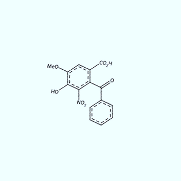 COc1cc(C(=O)O)c(C(=O)c2ccccc2)c([N+](=O)[O-])c1O